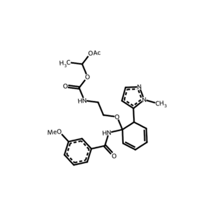 COc1cccc(C(=O)NC2(OCCNC(=O)OC(C)OC(C)=O)C=CC=CC2c2ccnn2C)c1